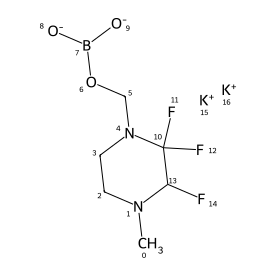 CN1CCN(COB([O-])[O-])C(F)(F)C1F.[K+].[K+]